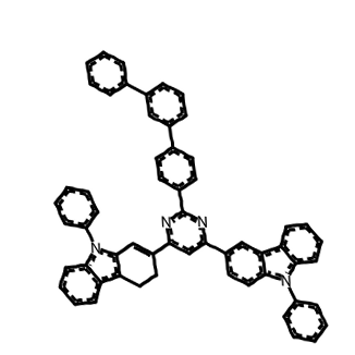 C1=C(c2cc(-c3ccc4c(c3)c3ccccc3n4-c3ccccc3)nc(-c3ccc(-c4cccc(-c5ccccc5)c4)cc3)n2)CCc2c1n(-c1ccccc1)c1ccccc21